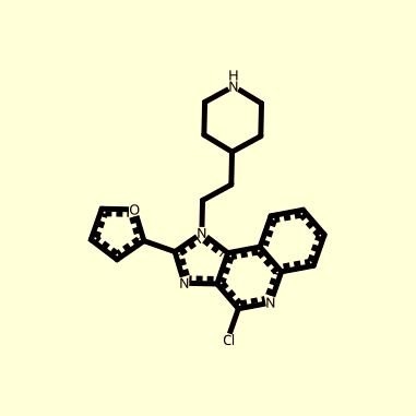 Clc1nc2ccccc2c2c1nc(-c1ccco1)n2CCC1CCNCC1